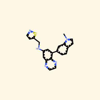 Cn1ccc2ccc(-c3cc(NCc4ccns4)cc4nccnc34)cc21